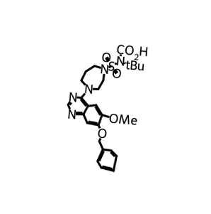 COc1cc2c(N3CCCN(S(=O)(=O)N(C(=O)O)C(C)(C)C)CC3)ncnc2cc1OCc1ccccc1